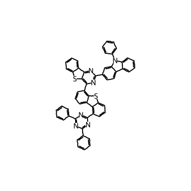 c1ccc(-c2nc(-c3ccccc3)nc(-c3cccc4sc5c(-c6nc(-c7ccc8c9ccccc9n(-c9ccccc9)c8c7)nc7c6sc6ccccc67)cccc5c34)n2)cc1